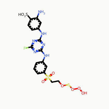 Nc1cc(Nc2nc(F)nc(Nc3cccc(S(=O)(=O)CCOSOOO)c3)n2)ccc1S(=O)(=O)O